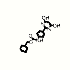 O=C(Nc1ccc(-c2nc(O)cc(O)n2)cc1)OCc1ccccc1